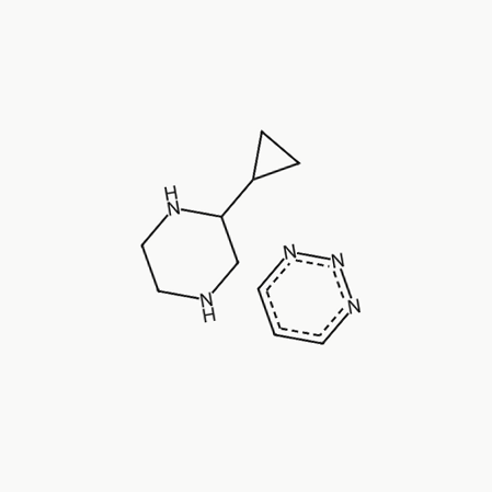 C1CNC(C2CC2)CN1.c1cnnnc1